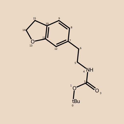 CC(C)(C)OC(=O)NCCc1ccc2c(c1)OCC2